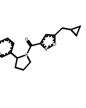 O=C(c1cc(CC2CC2)on1)N1CCCC1c1ccccc1